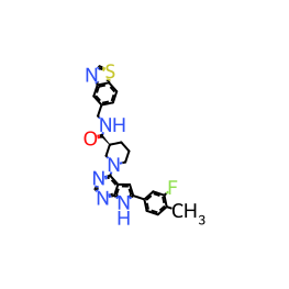 Cc1ccc(-c2cc3c(N4CCC[C@H](C(=O)NCc5ccc6scnc6c5)C4)ncnc3[nH]2)cc1F